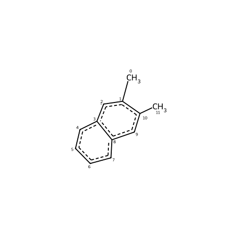 Cc1[c]c2ccccc2cc1C